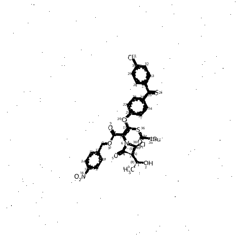 C[C@@H](O)[C@H]1C(=O)N(C(C(=O)OCc2ccc([N+](=O)[O-])cc2)=C(Oc2ccc(C(=S)c3ccc(Cl)cc3)cc2)SC(=O)C(C)(C)C)[C@H]1Cl